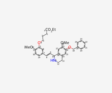 CCOC(=O)CCCOc1cc(/C=C/C2NCCc3cc(OCc4ccccc4)c(OC)cc32)ccc1OC